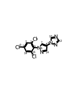 Clc1cc(Cl)c(-n2cc(-n3cncn3)cn2)c(Cl)c1